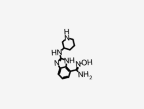 NC(=NO)c1cccc2nc(NC3CCCNC3)[nH]c12